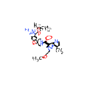 COCCn1cc(C(=O)N2CCC3(CC2)COc2ccc(C(N)C(=O)OC(C)(C)C)cc23)c2nccc(C)c21